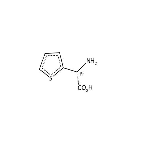 N[C@H](C(=O)O)c1cccs1